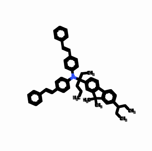 CCCC(CC)(c1ccc2c(c1)C(C)(C)c1cc(C(CC)CC)ccc1-2)N(c1ccc(/C=C/c2ccccc2)cc1)c1ccc(/C=C/c2ccccc2)cc1